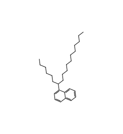 CCCCCCCCCCCC(CCCCCC)c1cccc2ccccc12